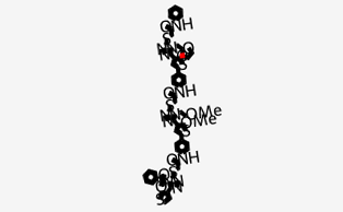 COC(Cn1c(SCC(=O)Nc2ccc(-c3cc(-c4nnc(SCC(=O)Nc5ccccc5)n4CC4OCCO4)cs3)cc2)nnc1-c1csc(-c2ccc(NC(=O)CSc3nnc(-c4ccsc4)n3S(=O)(=O)c3ccccc3)cc2)c1)OC